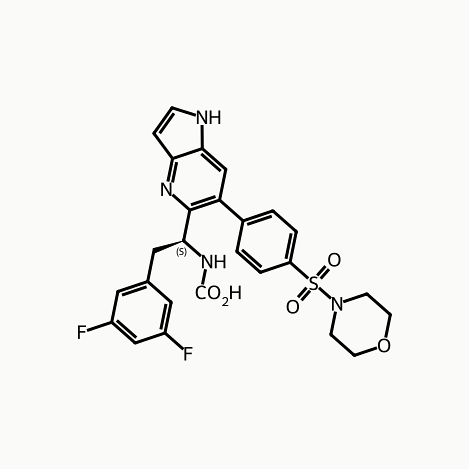 O=C(O)N[C@@H](Cc1cc(F)cc(F)c1)c1nc2cc[nH]c2cc1-c1ccc(S(=O)(=O)N2CCOCC2)cc1